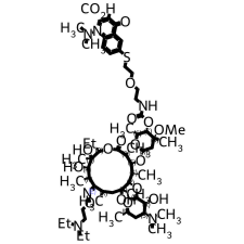 CC[C@H]1OC(=O)[C@H](C)[C@@H](O[C@H]2C[C@@](C)(OC)[C@@H](OC(=O)NCCOCCSc3ccc4c(c3)c(=O)c(C(=O)O)cn4N(C)C)[C@H](C)O2)[C@H](C)[C@@H](O[C@@H]2O[C@H](C)C[C@H](N(C)C)[C@H]2O)[C@](C)(O)C[C@@H](C)/C(=N\OCCN(CC)CC)[C@@H](C)[C@@H](O)[C@]1(C)O